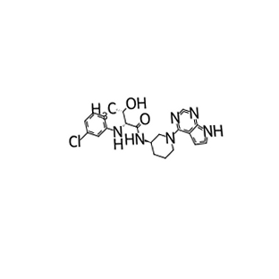 C[C@H](O)[C@@H](Nc1cccc(Cl)c1)C(=O)N[C@@H]1CCCN(c2ncnc3[nH]ccc23)C1